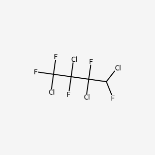 FC(Cl)C(F)(Cl)C(F)(Cl)C(F)(F)Cl